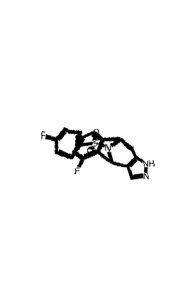 O=S(=O)(c1ccc(F)cc1)N1C2Cc3[nH]ncc3C1c1c(F)cccc12